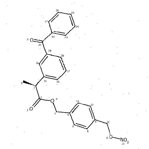 C[C@H](C(=O)OCc1ccc(CO[N+](=O)[O-])cc1)c1cccc(C(=O)c2ccccc2)c1